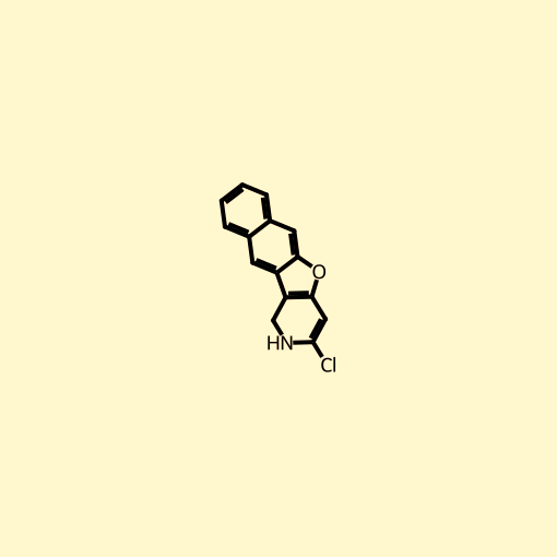 ClC1=Cc2oc3cc4ccccc4cc3c2CN1